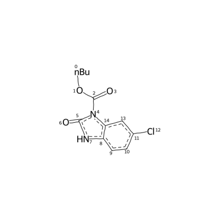 CCCCOC(=O)n1c(=O)[nH]c2ccc(Cl)cc21